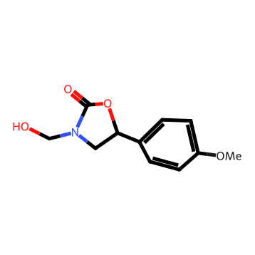 COc1ccc(C2CN(CO)C(=O)O2)cc1